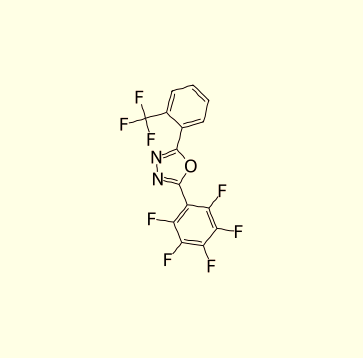 Fc1c(F)c(F)c(-c2nnc(-c3ccccc3C(F)(F)F)o2)c(F)c1F